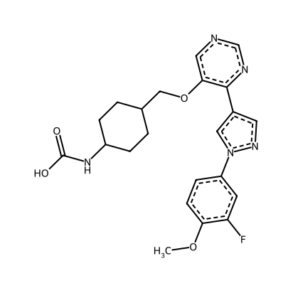 COc1ccc(-n2cc(-c3ncncc3OCC3CCC(NC(=O)O)CC3)cn2)cc1F